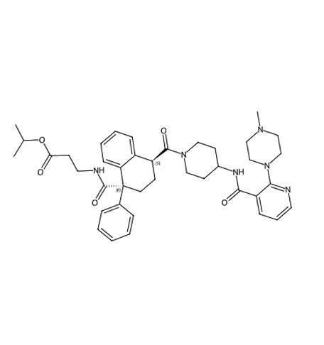 CC(C)OC(=O)CCNC(=O)[C@@]1(c2ccccc2)CC[C@H](C(=O)N2CCC(NC(=O)c3cccnc3N3CCN(C)CC3)CC2)c2ccccc21